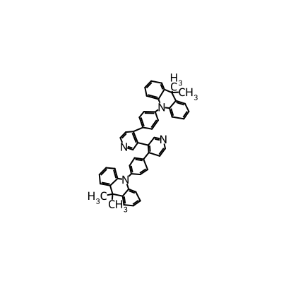 CC1(C)c2ccccc2N(c2ccc(-c3ccncc3-c3cnccc3-c3ccc(N4c5ccccc5C(C)(C)c5ccccc54)cc3)cc2)c2ccccc21